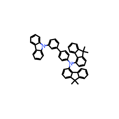 CC1(C)c2ccccc2-c2c(N(c3ccc(-c4cccc(-n5c6ccccc6c6ccccc65)c4)cc3)c3cccc4c3-c3ccccc3C4(C)C)cccc21